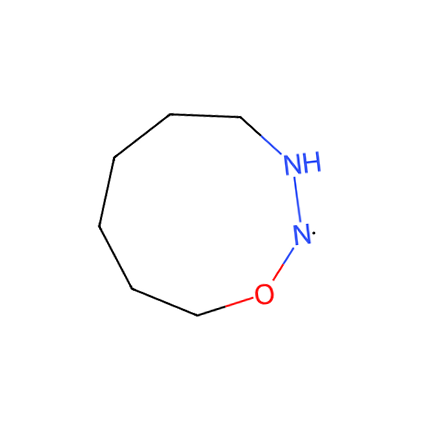 C1CCCO[N]NCC1